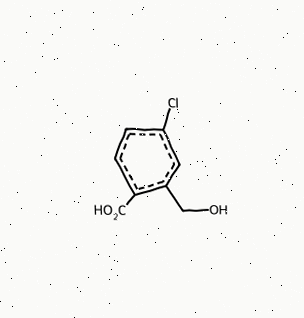 O=C(O)c1ccc(Cl)cc1CO